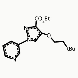 CCOC(=O)c1nn(-c2cccnc2)cc1OCCC(C)(C)C